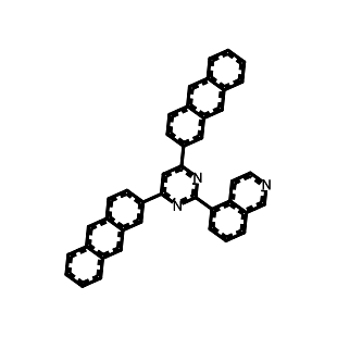 c1ccc2cc3cc(-c4cc(-c5ccc6cc7ccccc7cc6c5)nc(-c5cccc6cnccc56)n4)ccc3cc2c1